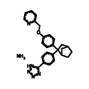 N.c1ccc(COc2ccc(C3(c4ccc(-c5nnn[nH]5)cc4)CC4CCC3C4)cc2)nc1